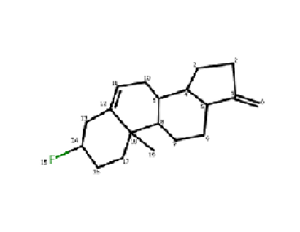 C=C1CCC2C1CCC1C2CC=C2CC(F)CCC21C